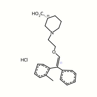 Cc1ccccc1/C(=C\OCCN1CCC[C@@H](C(=O)O)C1)c1ccccc1.Cl